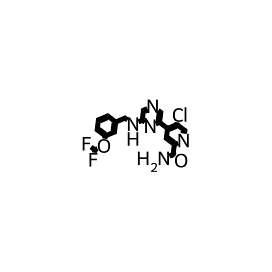 NC(=O)c1cc(-c2cncc(NCc3cccc(OC(F)F)c3)n2)c(Cl)cn1